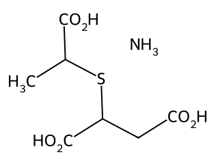 CC(SC(CC(=O)O)C(=O)O)C(=O)O.N